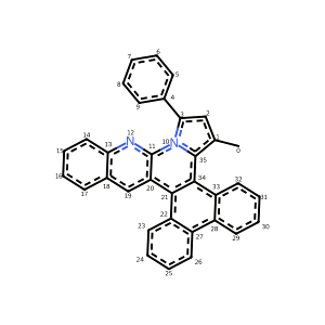 Cc1cc(-c2ccccc2)n2c3nc4ccccc4cc3c3c4ccccc4c4ccccc4c3c12